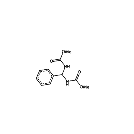 COC(=O)NC(NC(=O)OC)c1ccccc1